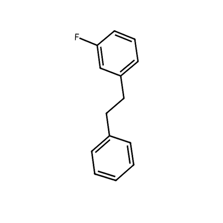 Fc1cccc(CCc2ccccc2)c1